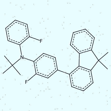 CC1(C)c2ccccc2-c2c(-c3ccc(N(c4ccccc4F)C(C)(C)C)c(F)c3)cccc21